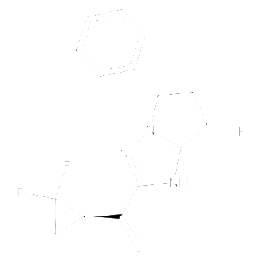 O=C(C1=NN2C(N1)[C@@H](F)C[C@H]2c1ccccc1)[C@H]1CC1(F)F